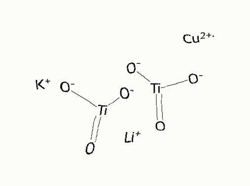 [Cu+2].[K+].[Li+].[O]=[Ti]([O-])[O-].[O]=[Ti]([O-])[O-]